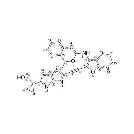 CC(OC(=O)Nc1c(C#Cc2nc3nc(C4(C(=O)O)CC4)sc3s2)oc2ncccc12)c1ccccc1